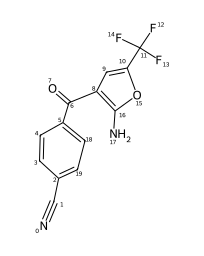 N#Cc1ccc(C(=O)c2cc(C(F)(F)F)oc2N)cc1